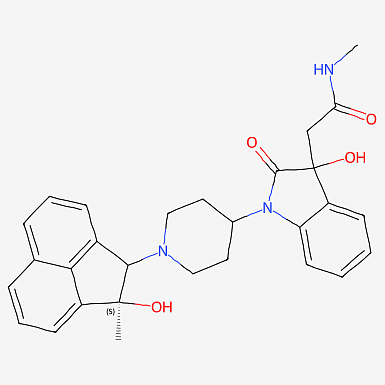 CNC(=O)CC1(O)C(=O)N(C2CCN(C3c4cccc5cccc(c45)[C@]3(C)O)CC2)c2ccccc21